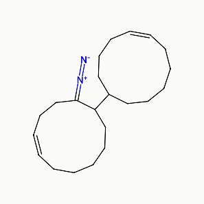 [N-]=[N+]=C1CCC=CCCCCCC1C1CCCC=CCCCCC1